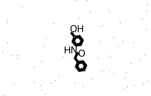 O=C(Cc1ccccc1)Nc1cccc(CO)c1